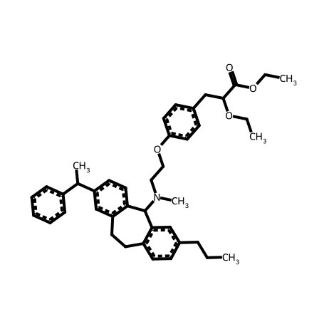 CCCc1ccc2c(c1)C(N(C)CCOc1ccc(CC(OCC)C(=O)OCC)cc1)c1ccc(C(C)c3ccccc3)cc1CC2